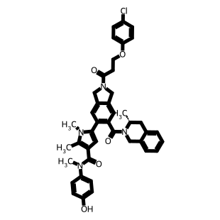 Cc1c(C(=O)N(C)c2ccc(O)cc2)cc(-c2cc3c(cc2C(=O)N2Cc4ccccc4C[C@H]2C)CN(C(=O)CCOc2ccc(Cl)cc2)C3)n1C